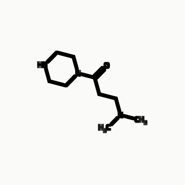 CN(C)CCC(=O)N1CCNCC1